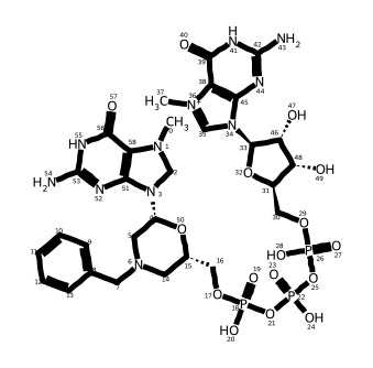 CN1CN([C@H]2CN(Cc3ccccc3)C[C@@H](COP(=O)(O)OP(=O)(O)OP(=O)(O)OC[C@H]3O[C@@H](n4c[n+](C)c5c(=O)[nH]c(N)nc54)[C@H](O)[C@@H]3O)O2)c2nc(N)[nH]c(=O)c21